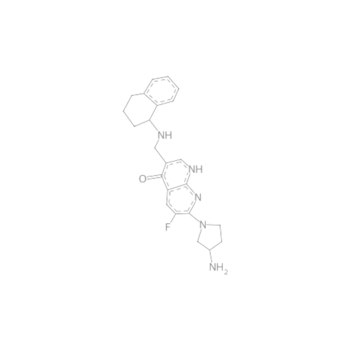 NC1CCN(c2nc3[nH]cc(CNC4CCCc5ccccc54)c(=O)c3cc2F)C1